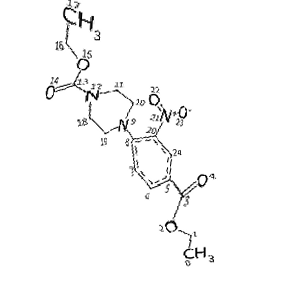 CCOC(=O)c1ccc(N2CCN(C(=O)OCC)CC2)c([N+](=O)[O-])c1